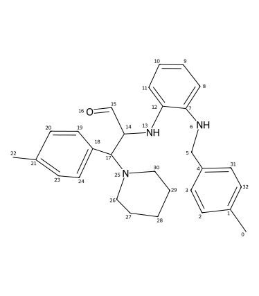 Cc1ccc(CNc2ccccc2NC(C=O)C(c2ccc(C)cc2)N2CCCCC2)cc1